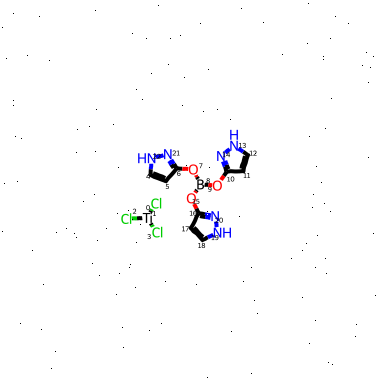 [Cl][Ti]([Cl])[Cl].c1cc(OB(Oc2cc[nH]n2)Oc2cc[nH]n2)n[nH]1